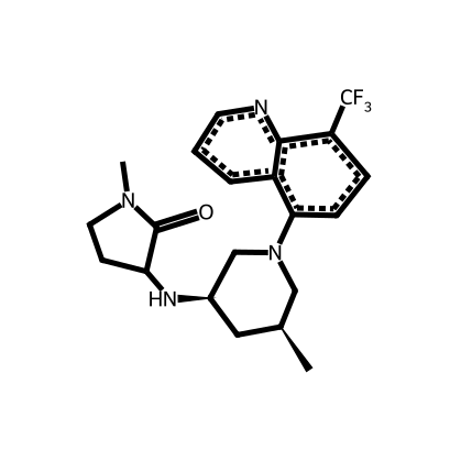 C[C@H]1C[C@@H](NC2CCN(C)C2=O)CN(c2ccc(C(F)(F)F)c3ncccc23)C1